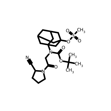 CC(C)(C)OC(=O)N(CC(=O)N1CCCC1C#N)C12CC3CC(CC(OS(C)(=O)=O)(C3)C1)C2